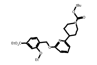 CCOC(=O)c1ccc(COc2cccc(C3CCN(C(=O)OC(C)(C)C)CC3)n2)c(OCC)c1